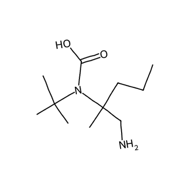 CCCC(C)(CN)N(C(=O)O)C(C)(C)C